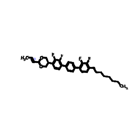 C/C=C/C1OCC(c2ccc(-c3ccc(-c4ccc(CCCCCCCC)c(F)c4F)cc3)c(F)c2F)CO1